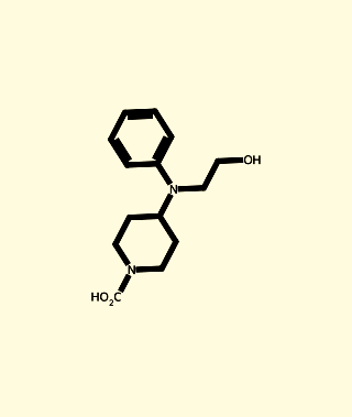 O=C(O)N1CCC(N(CCO)c2ccccc2)CC1